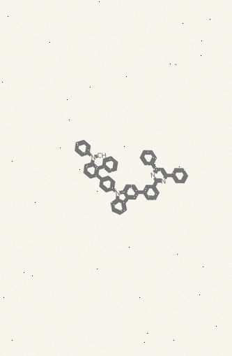 CN(c1ccccc1)c1cccc(-c2ccc(-n3c4ccccc4c4cc(-c5cccc(-c6nc(-c7ccccc7)cc(-c7ccccc7)n6)c5)ccc43)cc2)c1-c1ccccc1